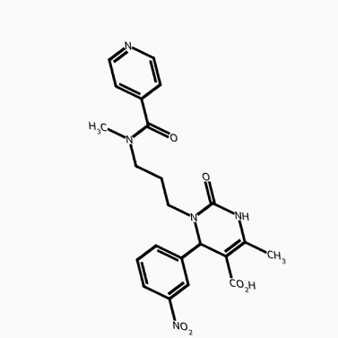 CC1=C(C(=O)O)C(c2cccc([N+](=O)[O-])c2)N(CCCN(C)C(=O)c2ccncc2)C(=O)N1